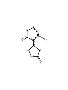 O=C1CC(c2c(F)cccc2Br)CN1